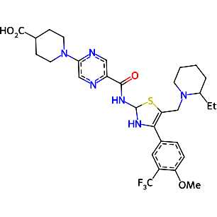 CCC1CCCCN1CC1=C(c2ccc(OC)c(C(F)(F)F)c2)NC(NC(=O)c2cnc(N3CCC(C(=O)O)CC3)cn2)S1